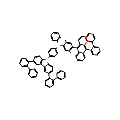 Cc1cc(N(c2ccccc2)c2ccc(-n3c4ccc(-c5ccccc5-c5ccccc5)cc4c4cc(-c5ccccc5-c5ccccc5)ccc43)cc2)c(C)cc1-c1c2ccccc2c(-c2ccccc2-c2ccccc2)c2ccccc12